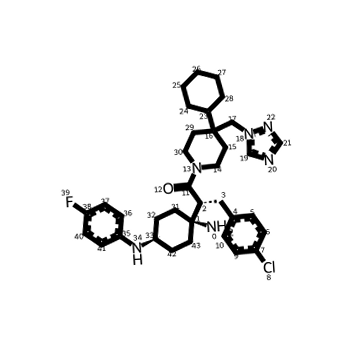 N[C@]1([C@@H](Cc2ccc(Cl)cc2)C(=O)N2CCC(Cn3cncn3)(C3CCCCC3)CC2)CC[C@H](Nc2ccc(F)cc2)CC1